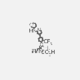 CC(C)CC(C)(COc1ccc(-c2ccnc(NC3CCCOC3)c2)cc1C(F)(F)F)NC(=O)O